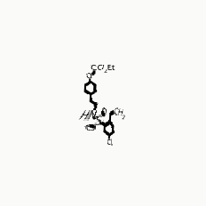 C=Cc1ccc(Cl)cc1S(=O)(=O)NCCc1ccc(OCC(=O)OCC)cc1